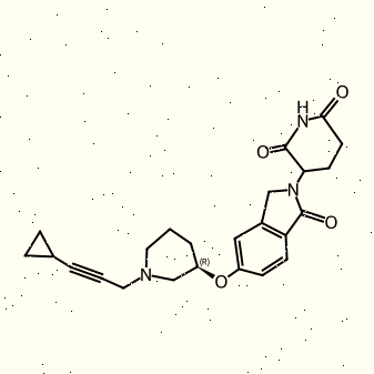 O=C1CCC(N2Cc3cc(O[C@@H]4CCCN(CC#CC5CC5)C4)ccc3C2=O)C(=O)N1